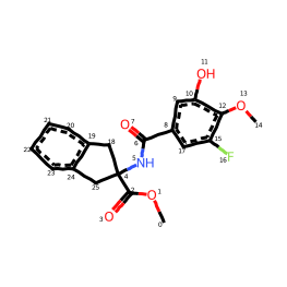 COC(=O)C1(NC(=O)c2cc(O)c(OC)c(F)c2)Cc2ccccc2C1